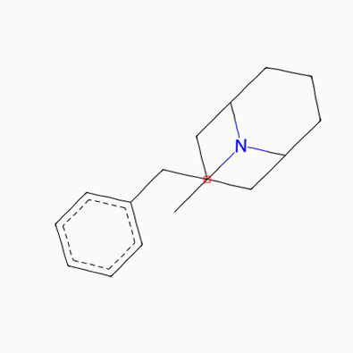 CC1CC2CCCC(C1)N2CCc1ccccc1